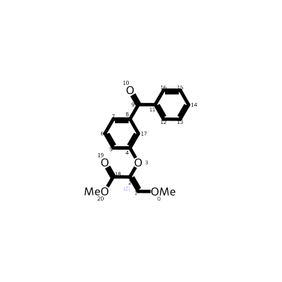 CO/C=C(\Oc1cccc(C(=O)c2ccccc2)c1)C(=O)OC